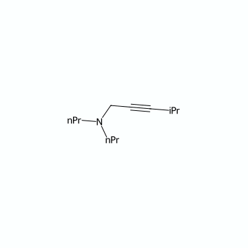 CCCN(CC#CC(C)C)CCC